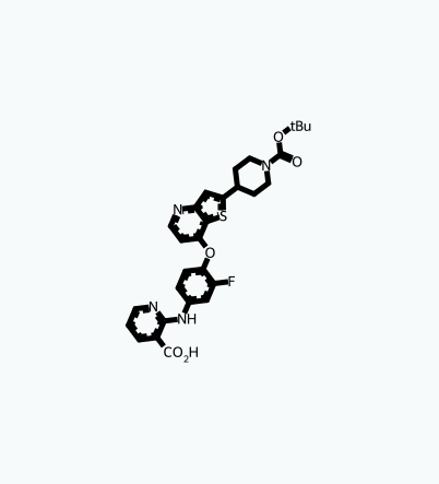 CC(C)(C)OC(=O)N1CCC(c2cc3nccc(Oc4ccc(Nc5ncccc5C(=O)O)cc4F)c3s2)CC1